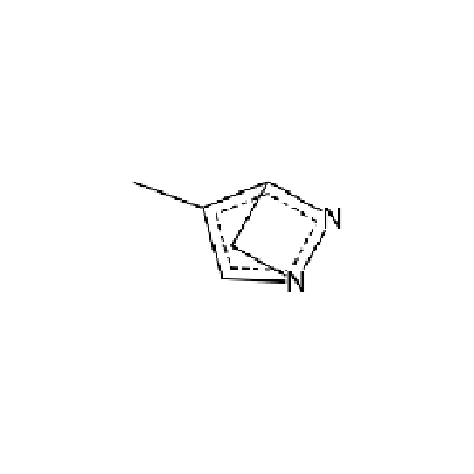 Cc1cn2nc1[CH]2